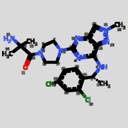 C[C@@H](Nc1nc(N2CCN(C(=O)C(C)(C)N)CC2)nc2cn(C)nc12)c1ccc(Cl)cc1Cl